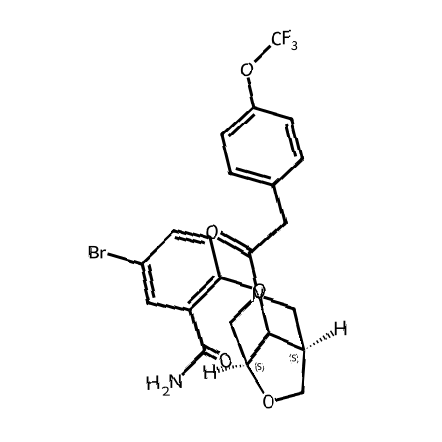 NC(=O)c1cc(Br)ccc1OC1[C@@H]2CO[C@H]1CN(C(=O)Cc1ccc(OC(F)(F)F)cc1)C2